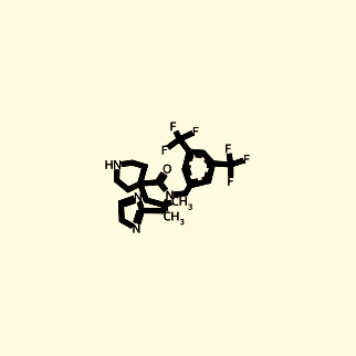 CC(C)CC1(C(=O)N(CC2=NCC=N2)Cc2cc(C(F)(F)F)cc(C(F)(F)F)c2)CCNCC1